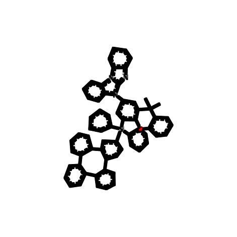 CC1(C)c2ccccc2Oc2c1cc(-n1c3ccccc3n3c4ccccc4nc13)cc2[Si](c1ccccc1)(c1ccccc1)c1ccc2c(c1)-c1ccccc1-c1ccccc1-c1ccccc1-2